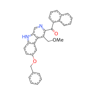 COCc1c(C(=O)c2cccc3ccccc23)ncc2[nH]c3ccc(OCc4ccccc4)cc3c12